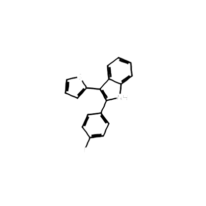 Ic1ccc(-c2[nH]c3ccccc3c2-c2cccs2)cc1